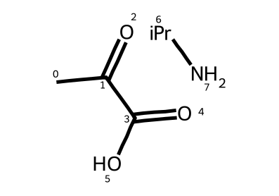 CC(=O)C(=O)O.CC(C)N